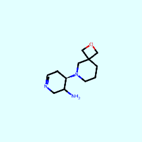 NC1CN=CC[C@H]1N1CCCC2(COC2)C1